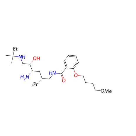 CCC(C)(C)NC[C@H](O)[C@@H](N)C[C@H](CNC(=O)c1ccccc1OCCCCOC)C(C)C